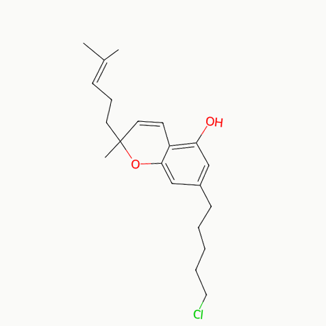 CC(C)=CCCC1(C)C=Cc2c(O)cc(CCCCCCl)cc2O1